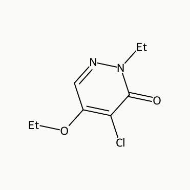 CCOc1cnn(CC)c(=O)c1Cl